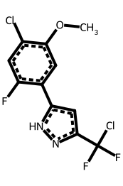 COc1cc(-c2cc(C(F)(F)Cl)n[nH]2)c(F)cc1Cl